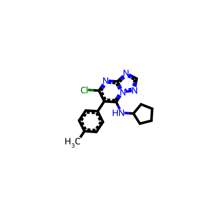 Cc1ccc(-c2c(Cl)nc3ncnn3c2NC2CCCC2)cc1